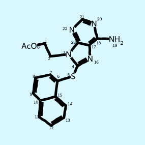 CC(=O)OCCn1c(Sc2cccc3ccccc23)nc2c(N)ncnc21